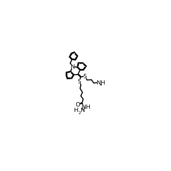 CNCCCSC(SCCCCCC(=O)NN)=C1c2ccccc2N(Cc2ccccc2)c2ccccc21